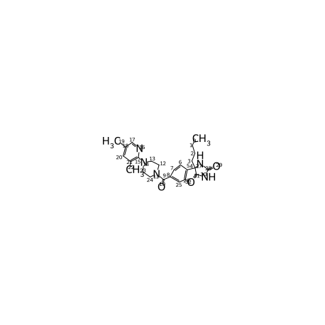 CCCCC1(c2ccc(C(=O)N3CCN(c4ncc(C)cc4C)CC3)cc2)NC(=O)NC1=O